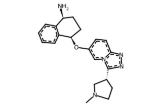 CN1CC[C@@H](c2nnc3ccc(O[C@@H]4CC[C@H](N)c5ccccc54)cn23)C1